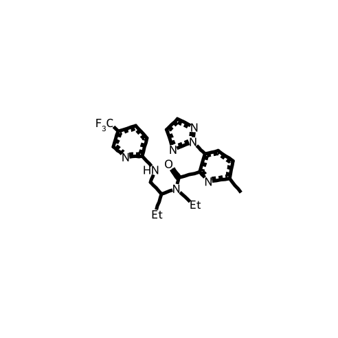 CCC(CNc1ccc(C(F)(F)F)cn1)N(CC)C(=O)c1nc(C)ccc1-n1nccn1